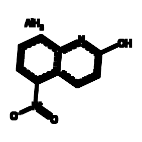 O=[N+]([O-])c1cccc2nc(O)ccc12.[AlH3]